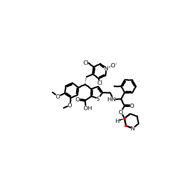 COc1ccc([C@H](Cc2c(Cl)c[n+]([O-])cc2Cl)c2cc(CNC(C(=O)O[C@H]3CN4CCC3CC4)c3ccccc3C)sc2C(=O)O)cc1OC